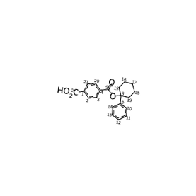 O=C(O)c1ccc(C(=O)OC2(c3ccccc3)CCCCC2)cc1